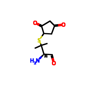 CC(C)(SC1CC(=O)CC1=O)[C@H](N)C=O